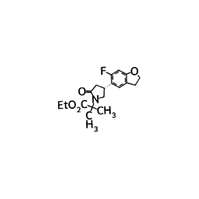 CCOC(=O)C(C)(C)N1C[C@@H](c2cc3c(cc2F)OCC3)CC1=O